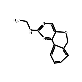 CCNc1ncc2c(n1)-c1ccccc1CO2